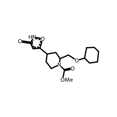 COC(=O)N1CCC(c2cc(=O)[nH]o2)CC1COC1CCCCC1